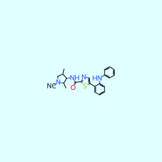 CC1CN(C#N)C(C)[C@@H]1NC(=O)c1ncc(-c2ccccc2Nc2ccccc2)s1